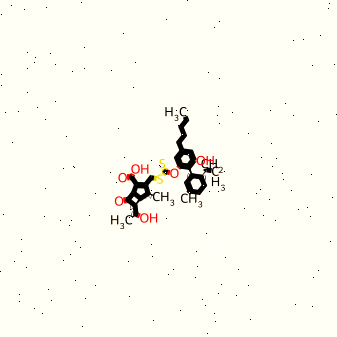 C=C(C)[C@@H]1CCC(C)=C[C@H]1c1c(O)cc(CCCCC)cc1OC(=S)SCC1=C(C(=O)O)C2C(=O)[C@H]([C@@H](C)O)C2[C@H]1C